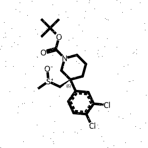 C[S+]([O-])C[C@]1(c2ccc(Cl)c(Cl)c2)CCCN(C(=O)OC(C)(C)C)C1